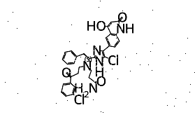 NC(=O)CCN(CCC(=O)c1cccc(Cl)c1)[C@@H](Cc1ccccc1)c1nc(-c2ccc3[nH]c(=O)cc(O)c3c2)c(Cl)[nH]1